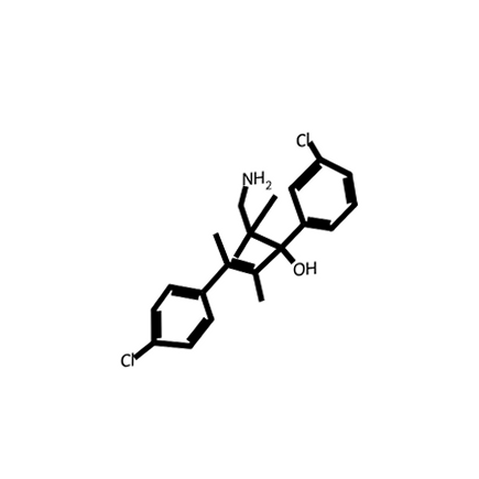 CC(=C(C)C(O)(c1cccc(Cl)c1)C(C)(C)CN)c1ccc(Cl)cc1